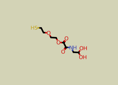 O=C(NCC(O)O)C(=O)OCCOCCS